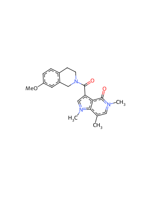 COc1ccc2c(c1)CN(C(=O)c1cn(C)c3c(C)cn(C)c(=O)c13)CC2